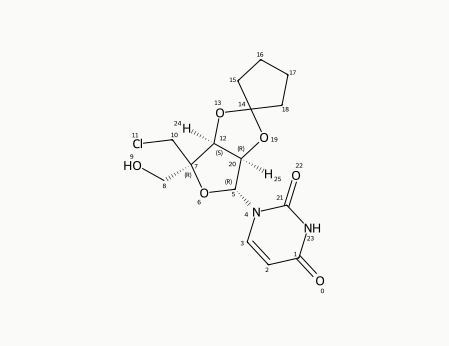 O=c1ccn([C@@H]2O[C@@](CO)(CCl)[C@H]3OC4(CCCC4)O[C@@H]23)c(=O)[nH]1